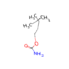 CC(C)(C)CCOC(N)=O